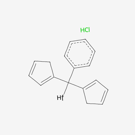 Cl.[Hf][C](C1=CC=CC1)(C1=CC=CC1)c1ccccc1